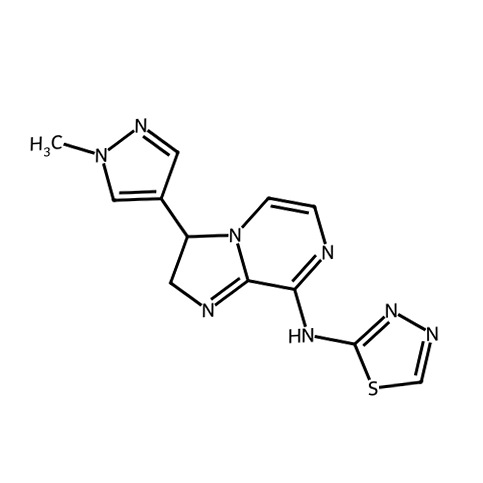 Cn1cc(C2CN=C3C(Nc4nncs4)=NC=CN32)cn1